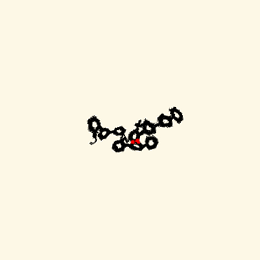 CC1(C)c2cc(-c3ccc(-c4ccccc4)cc3)ccc2-c2ccc(N(c3cccc(-c4ccc5sc6ccccc6c5c4)c3)c3ccccc3-c3ccc(-c4ccccc4)cc3)cc21